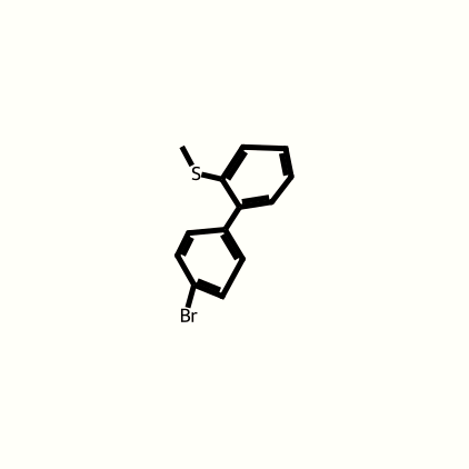 CSc1ccccc1-c1ccc(Br)cc1